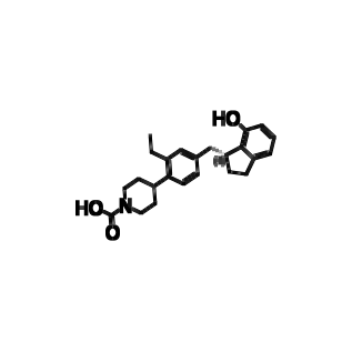 CCc1cc(C[C@H]2CCc3cccc(O)c32)ccc1C1CCN(C(=O)O)CC1